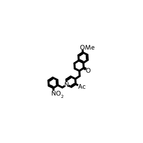 COc1ccc2c(c1)CCC(CC1C=CN(Cc3ccccc3[N+](=O)[O-])C=C1C(C)=O)C2=O